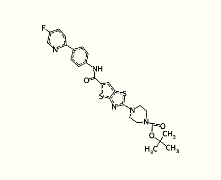 CC(C)(C)OC(=O)N1CCN(c2nc3sc(C(=O)Nc4ccc(-c5ccc(F)cn5)cc4)cc3s2)CC1